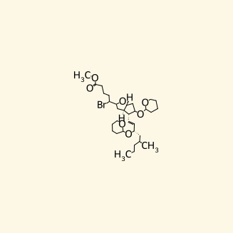 CCC[C@H](C)C[C@@H](/C=C/[C@@H]1[C@H]2CC(C(Br)CCCC(=O)OC)O[C@@H]2C[C@H]1OC1CCCCO1)OC1CCCCO1